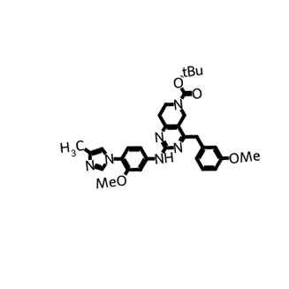 COc1cccc(Cc2nc(Nc3ccc(-n4cnc(C)c4)c(OC)c3)nc3c2CN(C(=O)OC(C)(C)C)CC3)c1